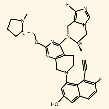 C#Cc1c(F)ccc2cc(O)cc(N3CCc4c(nc(OC[C@@H]5CCCN5C)nc4N4Cc5c(F)ncn5C[C@H]4C)C3)c12